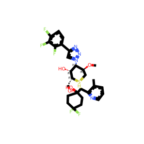 CO[C@H]1C[SH](C(c2ncccc2C)C2(O)CCC(F)(F)CC2)[C@H](CO)[C@H](O)[C@@H]1n1cc(-c2ccc(F)c(F)c2F)nn1